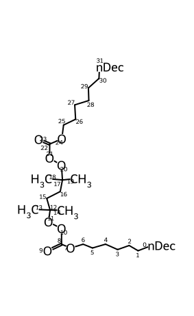 CCCCCCCCCCCCCCCCOC(=O)OOC(C)(C)CCC(C)(C)OOC(=O)OCCCCCCCCCCCCCCCC